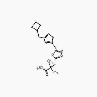 CC(C)(Cc1nnc(-c2nc(CC3CCC3)cs2)o1)C(=O)O